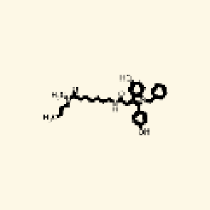 CCCCN(C)C(=O)CCCCCCNC(=O)Cc1c(-c2ccc(O)cc2)n(Cc2ccccc2)c2ccc(O)cc12